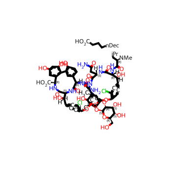 CCCCCCCCCCCCCC(=O)O.CN[C@H](CC(C)C)C(=O)N[C@H]1C(=O)N[C@@H](CC(N)=O)C(=O)N[C@H]2C(=O)N[C@H]3C(=O)N[C@H](C(=O)N[C@@H](C(=O)O)c4cc(O)cc(O)c4-c4cc3ccc4O)[C@H](O)c3ccc(c(Cl)c3)Oc3cc2cc(c3O[C@@H]2O[C@H](CO)[C@@H](O)[C@H](O)[C@H]2O[C@H]2C[C@](C)(N)C(O)[C@H](C)O2)Oc2ccc(cc2Cl)[C@H]1O